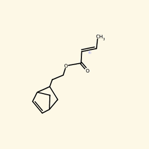 C/C=C/C(=O)OCCC1CC2C=CC1C2